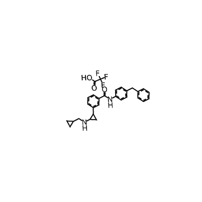 O=C(Nc1ccc(Cc2ccccc2)cc1)c1cccc(C2CC2NCC2CC2)c1.O=C(O)C(F)(F)F